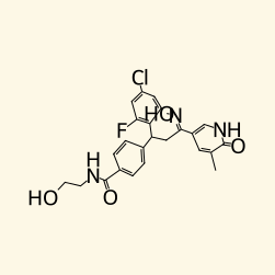 Cc1cc(/C(CC(c2ccc(C(=O)NCCO)cc2)c2ccc(Cl)cc2F)=N/O)c[nH]c1=O